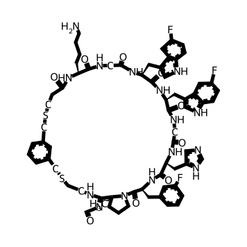 C[C@@]12CCCN1C(=O)[C@H](Cc1cccc(F)c1)NC(=O)[C@H](Cc1cnc[nH]1)NC(=O)CNC(=O)[C@H](Cc1c[nH]c3ccc(F)cc13)NC(=O)[C@H](Cc1c[nH]c3ccc(F)cc13)NC(=O)CNC(=O)[C@H](CCCCN)NC(=O)CCSCc1cccc(c1)CSCCN/C2=N\C=O